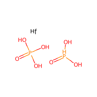 O=P(O)(O)O.O=[PH](O)O.[Hf]